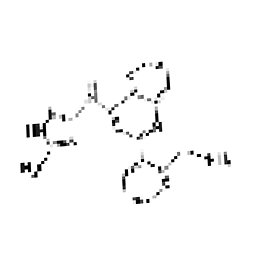 Cc1nc(Nc2nc(-c3ccccc3CN)nc3ccccc23)n[nH]1